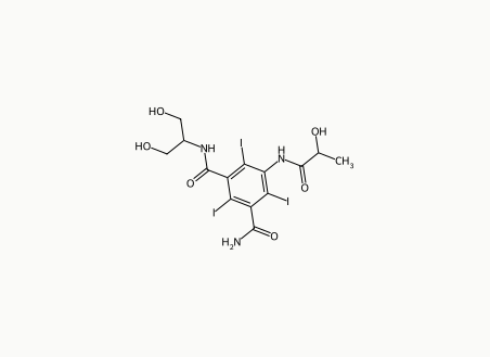 CC(O)C(=O)Nc1c(I)c(C(N)=O)c(I)c(C(=O)NC(CO)CO)c1I